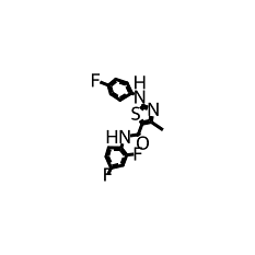 Cc1nc(Nc2ccc(F)cc2)sc1C(=O)Nc1ccc(F)cc1F